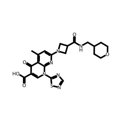 Cc1cc(N2CC(C(=O)NCC3CCOCC3)C2)nc2c1c(=O)c(C(=O)O)cn2-c1ncns1